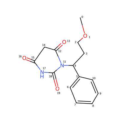 COCCC(c1ccccc1)N1C(=O)CC(=O)NC1=O